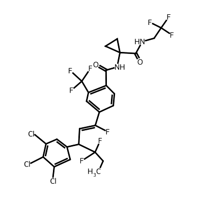 CCC(F)(F)C(/C=C(\F)c1ccc(C(=O)NC2(C(=O)NCC(F)(F)F)CC2)c(C(F)(F)F)c1)c1cc(Cl)c(Cl)c(Cl)c1